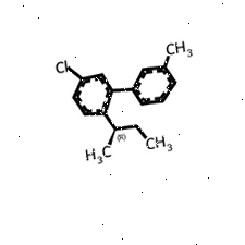 CC[C@@H](C)c1ccc(Cl)cc1-c1cccc(C)c1